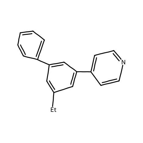 CCc1cc(-c2ccccc2)cc(-c2ccncc2)c1